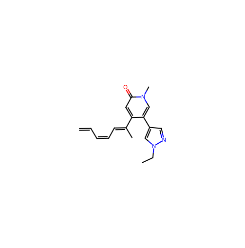 C=C/C=C\C=C(/C)c1cc(=O)n(C)cc1-c1cnn(CC)c1